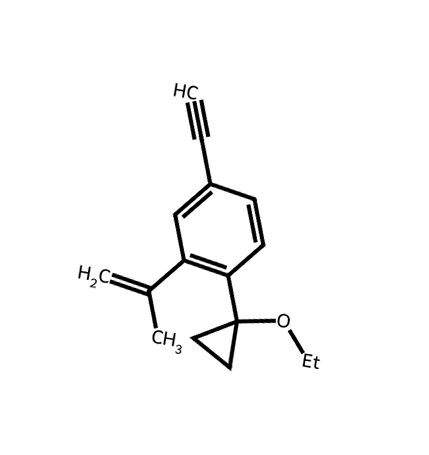 C#Cc1ccc(C2(OCC)CC2)c(C(=C)C)c1